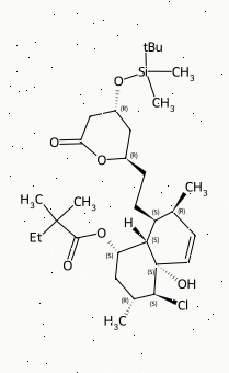 CCC(C)(C)C(=O)O[C@H]1C[C@@H](C)[C@H](Cl)[C@]2(O)C=C[C@H](C)[C@H](CC[C@@H]3C[C@@H](O[Si](C)(C)C(C)(C)C)CC(=O)O3)[C@@H]12